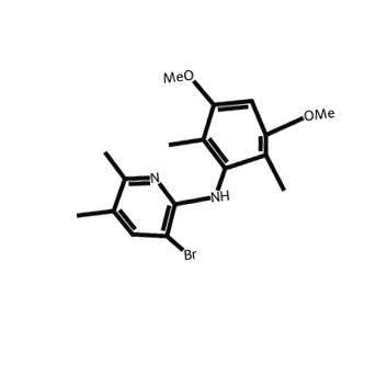 COc1cc(OC)c(C)c(Nc2nc(C)c(C)cc2Br)c1C